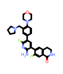 Nc1nc(F)c(-c2ccc(N3CCOCC3)c(CN3CCCC3)c2)cc1-c1cc2c(cc1F)C(=O)NCC2